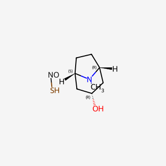 CN1[C@@H]2CC[C@H]1C[C@@H](O)C2.O=NS